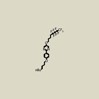 CCCCC=CCCOc1ccc(-c2ncc(OCCCCC(F)(F)C(F)(F)C(F)(F)C(F)(F)F)cn2)cc1